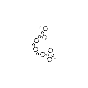 Fc1ccccc1Oc1ccccc1Oc1ccc(Oc2ccc(Oc3ccc(Oc4ccccc4Oc4ccccc4F)cc3)cc2)cc1